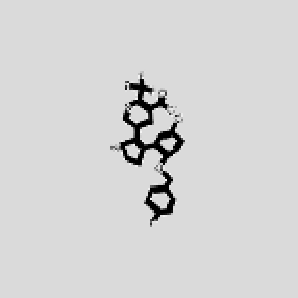 O=C([O-])c1cc(C2=C(c3cc(Cl)ccc3OCc3ccc(F)cc3)CCC2)cnc1C(F)(F)F.[Na+]